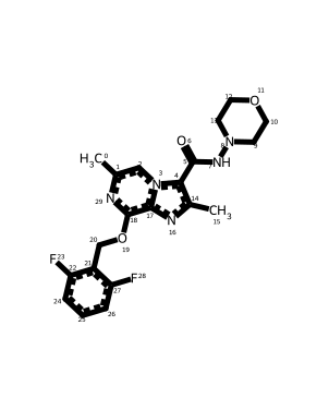 Cc1cn2c(C(=O)NN3CCOCC3)c(C)nc2c(OCc2c(F)cccc2F)n1